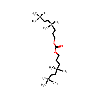 C[Si](C)(C)CC[Si](C)(C)CCCOC(=O)OCCC[Si](C)(C)CC[Si](C)(C)C